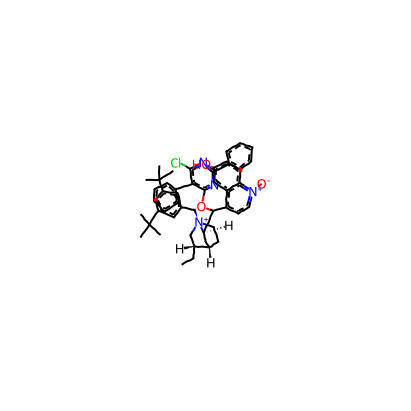 CC[C@@H]1C[N@+]2(Cc3cc(C(C)(C)C)cc(C(C)(C)C)c3)CC[C@H]1C[C@@H]2C(Oc1nc(-c2ccccc2)nc(Cl)c1-c1ccccc1)c1cc[n+]([O-])c2ccc(O)cc12